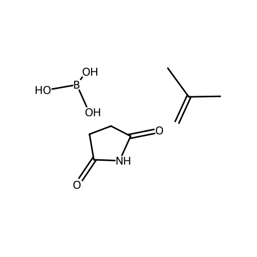 C=C(C)C.O=C1CCC(=O)N1.OB(O)O